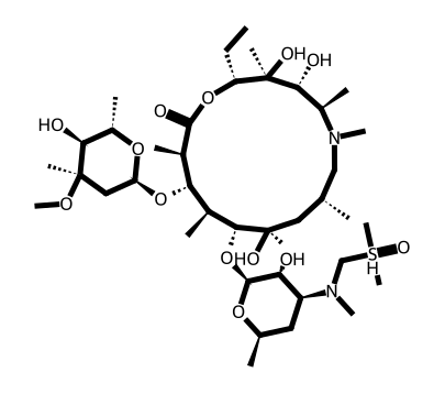 CC[C@H]1OC(=O)[C@H](C)[C@@H](O[C@H]2C[C@@](C)(OC)[C@@H](O)[C@H](C)O2)[C@H](C)[C@@H](O[C@@H]2O[C@H](C)C[C@H](N(C)C[SH](C)(C)=O)[C@H]2O)[C@](C)(O)C[C@@H](C)CN(C)[C@H](C)[C@@H](O)[C@]1(C)O